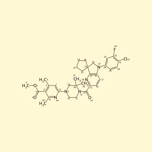 COC(=O)c1c(C)cc(N2CCN(C(=O)c3ccc4c(n3)C3(CCCC3)CN4c3ccc(Cl)c(F)c3)C(C)(C)C2)nc1C